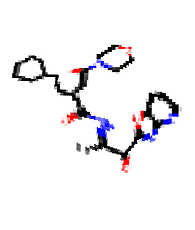 CCC(NC(=O)C(CCC1CCCCC1)CC(=O)N1CCOCC1)C(=O)c1nc2ncccc2o1